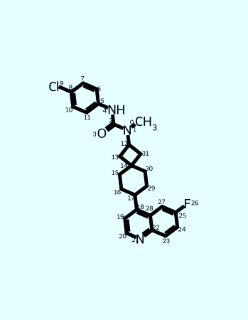 CN(C(=O)Nc1ccc(Cl)cc1)C1CC2(CCC(c3ccnc4ccc(F)cc34)CC2)C1